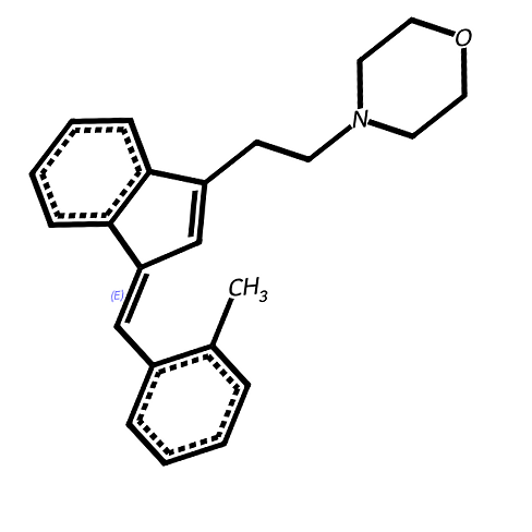 Cc1ccccc1/C=C1\C=C(CCN2CCOCC2)c2ccccc21